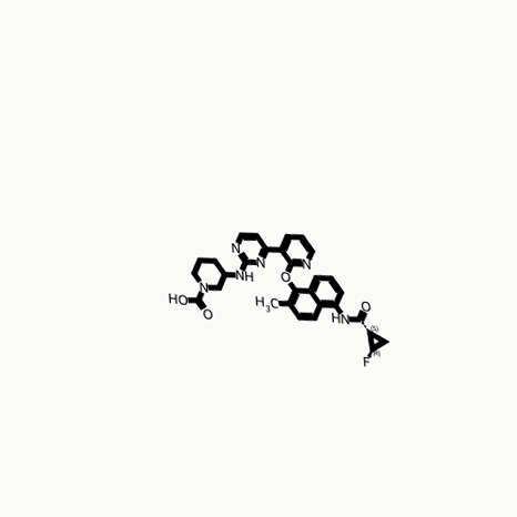 Cc1ccc2c(NC(=O)[C@@H]3C[C@H]3F)cccc2c1Oc1ncccc1-c1ccnc(NC2CCCN(C(=O)O)C2)n1